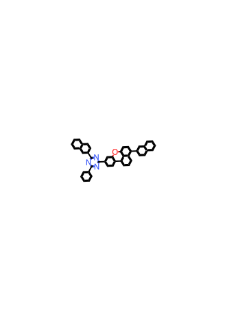 c1ccc(-c2nc(-c3ccc4c(c3)Oc3ccc(-c5ccc6ccccc6c5)c5cccc-4c35)nc(-c3ccc4ccccc4c3)n2)cc1